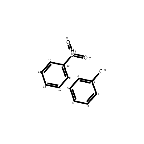 Clc1[c]cccc1.O=[SH](=O)c1ccccc1